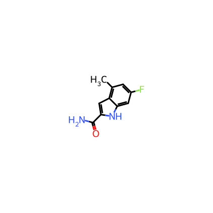 Cc1cc(F)cc2[nH]c(C(N)=O)cc12